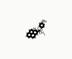 CCC(C)c1ccc(OC(C)(C)c2cc3ccc4cccc5ccc(c2)c3c45)cc1